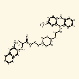 CC(Oc1cc2ccccc2cc1N)C(=O)OCCN1CCN(CCCN2c3ccccc3Sc3ccc(C(F)(F)F)cc32)CC1